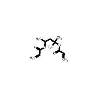 C=CC(=O)OC(C)CC(OC(=O)C=C)(C(F)(F)F)C(F)(F)F